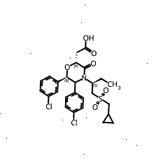 CC[C@@H](CS(=O)(=O)CC1CC1)N1C(=O)[C@@H](CC(=O)O)O[C@H](c2cccc(Cl)c2)C1c1ccc(Cl)cc1